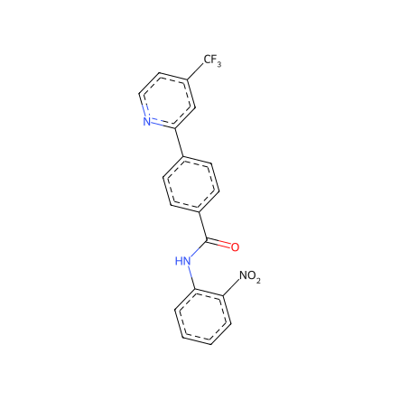 O=C(Nc1ccccc1[N+](=O)[O-])c1ccc(-c2cc(C(F)(F)F)ccn2)cc1